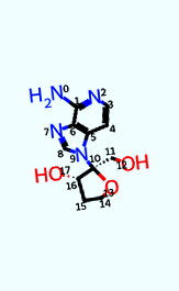 Nc1nccc2c1ncn2[C@@]1(CO)OCC[C@@H]1O